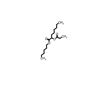 CCCCCCOC(=O)C(CCCCCC)OC(=O)CC